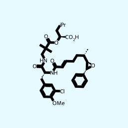 COc1ccc(C[C@@H](NC(=O)/C=C/CC[C@H](C)[C@H]2O[C@@H]2c2ccccc2)C(=O)NCC(C)(C)C(=O)O[C@@H](CC(C)C)C(=O)O)cc1Cl